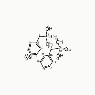 O=P(O)(O)Cc1ccccc1.O=P(O)(O)Cc1ccccc1.[Mg]